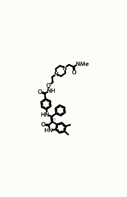 CNC(=O)CN1CCN(CCONC(=O)c2ccc(N/C(=C3\C(=O)Nc4cc(C)c(C)cc43)c3ccccc3)cc2)CC1